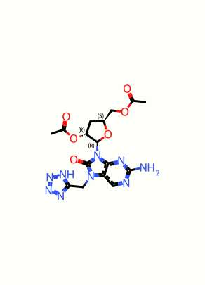 CC(=O)OC[C@@H]1C[C@@H](OC(C)=O)[C@H](n2c(=O)n(Cc3nnn[nH]3)c3cnc(N)nc32)O1